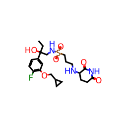 CCC(O)(CNS(=O)(=O)CCCNC1CCC(=O)NC1=O)c1ccc(F)c(OCC2CC2)c1